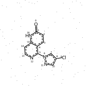 O=c1ccc2c(-n3cc(Cl)cn3)nccc2[nH]1